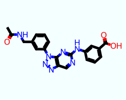 CC(=O)NCc1cccc(-n2nnc3cnc(Nc4cccc(C(=O)O)c4)nc32)c1